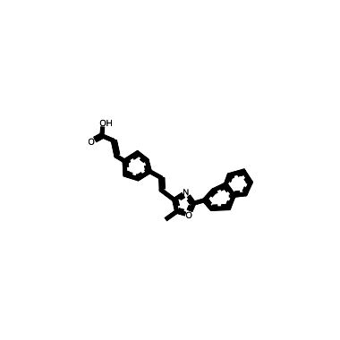 Cc1oc(-c2ccc3ccccc3c2)nc1C=Cc1ccc(/C=C/C(=O)O)cc1